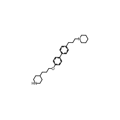 c1cc(-c2ccc(OCCCC3CCNCC3)cc2)ccc1CCCN1CCCCC1